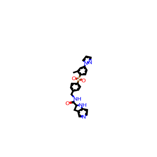 Cc1cc(-n2cccn2)ccc1S(=O)(=O)c1ccc(CNC(=O)C2Cc3cnccc3N2)cc1